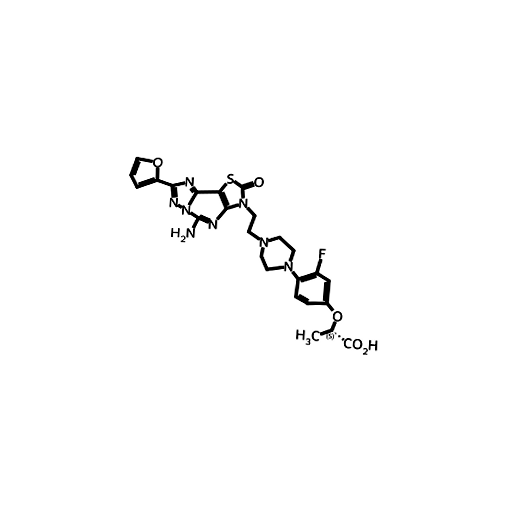 C[C@H](Oc1ccc(N2CCN(CCn3c(=O)sc4c3nc(N)n3nc(-c5ccco5)nc43)CC2)c(F)c1)C(=O)O